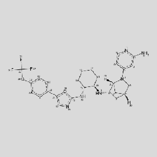 Nc1cc(N2C[C@@H]3C[C@H](N[C@@H]4CCCC[C@H]4Nc4ncc(-c5ccc(OC(F)(F)F)cc5)o4)[C@H]2C3)ccn1